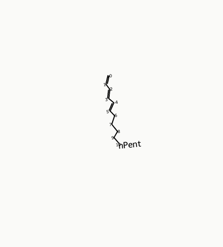 [CH]=CC=CC=CCCCCCCCCC